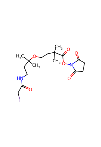 CC(C)(CCNC(=O)CI)OCCC(C)(C)C(=O)ON1C(=O)CCC1=O